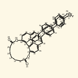 CCCc1ccc(-c2ccc(-c3ccc4c5c(ccc4c3)OC(=O)CCCCCC(=O)Oc3ccc4cc(-c6ccc(-c7ccc(CCC)cc7)cc6)ccc4c3-5)cc2)cc1